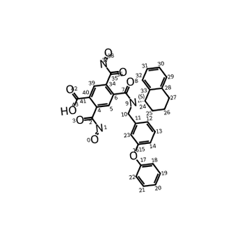 O=NC(=O)c1cc(C(=O)N(Cc2cccc(Oc3ccccc3)c2)[C@H]2CCCc3ccccc32)c(C(=O)N=O)cc1C(=O)O